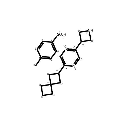 Cc1ccc(S(=O)(=O)O)cc1.c1nc(C2CC3(CCC3)C2)cnc1C1CNC1